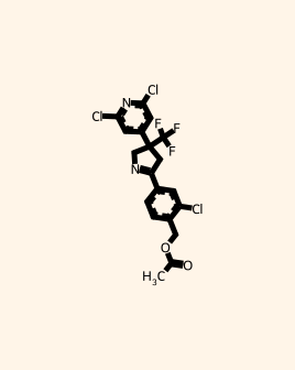 CC(=O)OCc1ccc(C2=NCC(c3cc(Cl)nc(Cl)c3)(C(F)(F)F)C2)cc1Cl